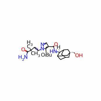 CC(C)COc1c(C(=O)N[C@H]2C3CC4CC2C[C@](CO)(C4)C3)cnn1/C=C/C(C)(C)C(N)=O